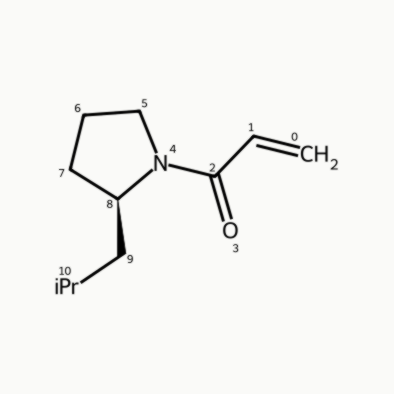 C=CC(=O)N1CCC[C@@H]1CC(C)C